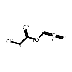 C=C=COC(=O)CCl